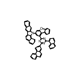 c1ccc2cc3c(cc2c1)c1ccc2ccccc2c1n3-c1cc(-c2nc(-c3ccc4c(ccc5ccccc54)c3)nc(-c3cccc4ccccc34)n2)c2c(c1)oc1ccccc12